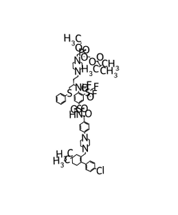 CCOP(=O)(CN1CCN(CC[C@H](CSc2ccccc2)Nc2ccc(S(=O)(=O)NC(=O)c3ccc(N4CCN(CC5=C(c6ccc(Cl)cc6)CCC(C)(C)C5)CC4)cc3)cc2S(=O)(=O)C(F)(F)F)CC1)OCOC(=O)C(C)(C)C